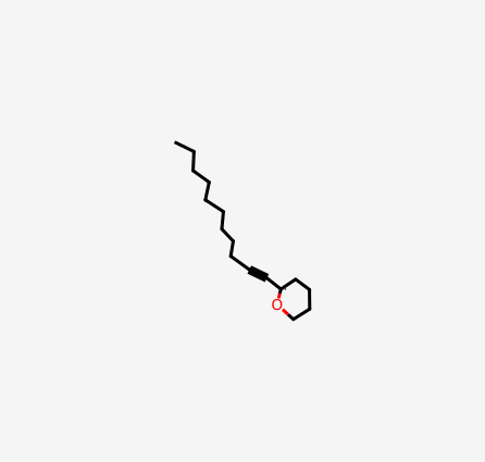 CCCCCCCCCC#C[C]1CCCCO1